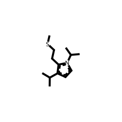 CSCCc1c(C(C)C)ccn1C(C)C